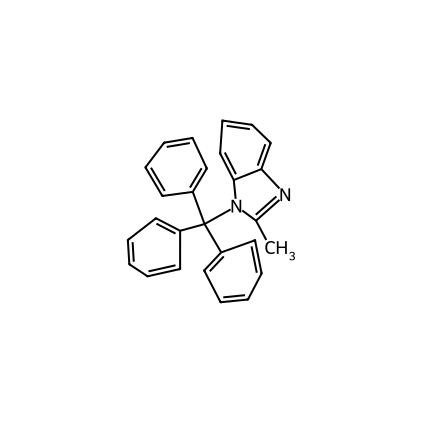 Cc1nc2ccccc2n1C(c1ccccc1)(c1ccccc1)c1ccccc1